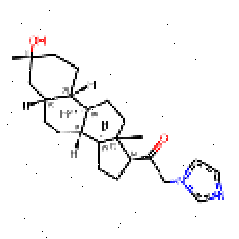 C[C@@]1(O)CC[C@H]2[C@H](CC[C@@H]3[C@@H]2CC[C@]2(C)[C@@H](C(=O)Cn4ccnc4)CC[C@@H]32)C1